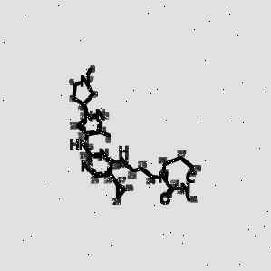 Cc1nn(C2CCN(C)C2)cc1Nc1ncc(C2CC2)c(NCCCN2CCCCN(C)C2=O)n1